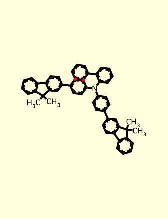 CC1(C)c2ccccc2-c2ccc(-c3ccc(N(c4ccc(-c5ccc6c(c5)C(C)(C)c5ccccc5-6)cc4)c4ccccc4-c4ccccc4)cc3)cc21